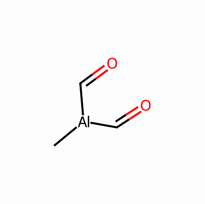 [CH3][Al]([CH]=O)[CH]=O